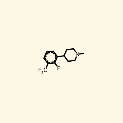 CN1CCC(c2cccc(C(F)(F)F)c2F)CC1